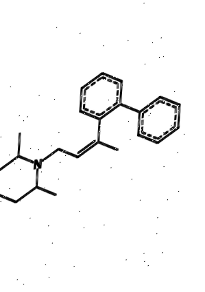 CC(=CCN1C(C)CCCC1C)c1ccccc1-c1ccccc1